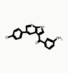 Nc1cccc(C(=O)c2c[nH]c3ncc(-c4ccc(Cl)cc4)cc23)c1